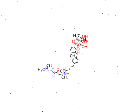 Cc1ccc([C@]23OC[C@](C(C)(C)O)(O2)[C@@H](O)[C@H](O)[C@H]3O)cc1Cc1ccc(CCCC(=O)NC(C)(C)CC(=O)NCCN(C)C)cc1